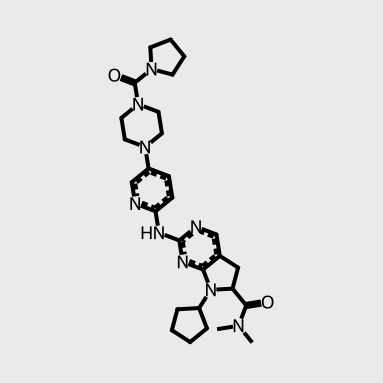 CN(C)C(=O)C1Cc2cnc(Nc3ccc(N4CCN(C(=O)N5CCCC5)CC4)cn3)nc2N1C1CCCC1